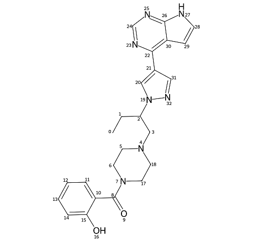 CCC(CN1CCN(C(=O)c2ccccc2O)CC1)n1cc(-c2ncnc3[nH]ccc23)cn1